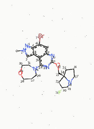 Cn1cc2c(n1)c(Br)cc1nc(OC[C@@]34CCCN3C[C@H](F)C4)nc(N3CCCOCC3)c12